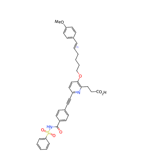 COc1ccc(/C=C/CCCCOc2ccc(C#Cc3ccc(C(=O)NS(=O)(=O)c4ccccc4)cc3)nc2CCC(=O)O)cc1